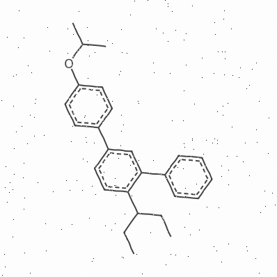 CCC(CC)c1ccc(-c2ccc(OC(C)C)cc2)cc1-c1ccccc1